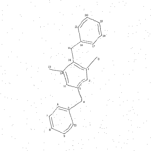 Cc1cc(Cc2ccccc2)cc(C)c1Cc1ccccc1